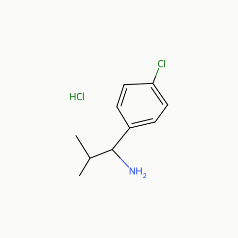 CC(C)C(N)c1ccc(Cl)cc1.Cl